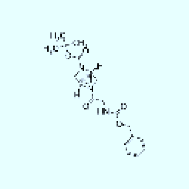 CC(C)(C)OC(=O)N1C[C@@H]2C[C@H]1CN2C(=O)CNC(=O)OCc1ccccc1